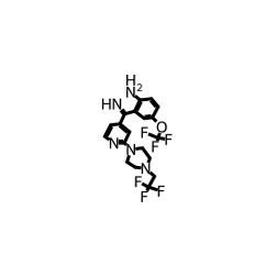 N=C(c1ccnc(N2CCN(CC(F)(F)F)CC2)c1)c1cc(OC(F)(F)F)ccc1N